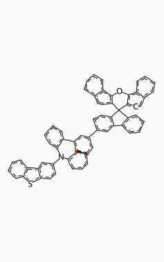 c1ccc(N(c2ccc3sc4ccccc4c3c2)c2ccccc2-c2cccc(-c3ccc4c(c3)-c3ccccc3C43c4ccc5ccccc5c4Oc4c3ccc3ccccc43)c2)cc1